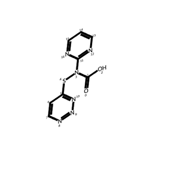 O=C(O)N(Sc1ccnnn1)c1ncccn1